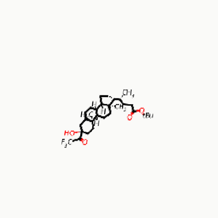 C[C@H](CCC(=O)OC(C)(C)C)[C@H]1CC[C@H]2[C@@H]3CCC4C[C@@](O)(C(=O)C(F)(F)F)CC[C@]4(C)[C@H]3CC[C@]12C